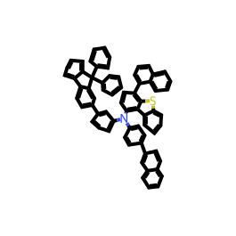 c1ccc(C2(c3ccccc3)c3ccccc3-c3ccc(-c4cccc(N(c5ccc(-c6ccc7ccccc7c6)cc5)c5ccc(-c6cccc7ccccc67)c6sc7ccccc7c56)c4)cc32)cc1